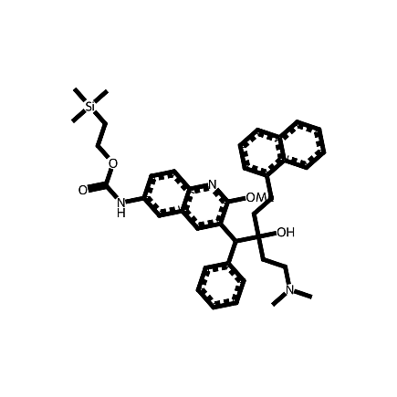 COc1nc2ccc(NC(=O)OCC[Si](C)(C)C)cc2cc1C(c1ccccc1)C(O)(CCc1cccc2ccccc12)CCN(C)C